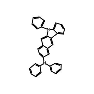 c1ccc(N(c2ccccc2)c2ccc3cc4c(cc3c2)c2ccccc2n4-c2ccccc2)cc1